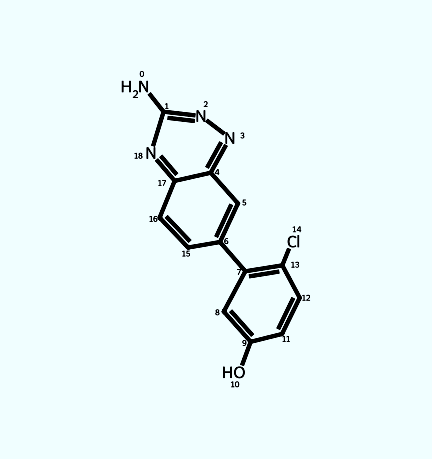 Nc1nnc2cc(-c3cc(O)ccc3Cl)ccc2n1